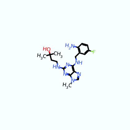 Cn1cnc2c(NCc3cc(F)ccc3N)nc(NCCC(C)(C)O)nc21